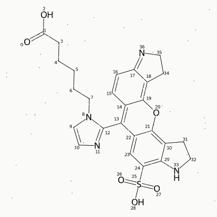 O=C(O)CCCCCn1ccnc1C1=c2ccc3c(c2Oc2c1cc(S(=O)(=O)O)c1c2CCN1)CCN=3